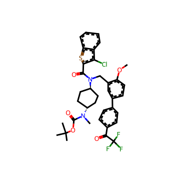 COc1ccc(-c2ccc(C(=O)C(F)(F)F)cc2)cc1CN(C(=O)c1sc2ccccc2c1Cl)[C@H]1CC[C@H](N(C)C(=O)OC(C)(C)C)CC1